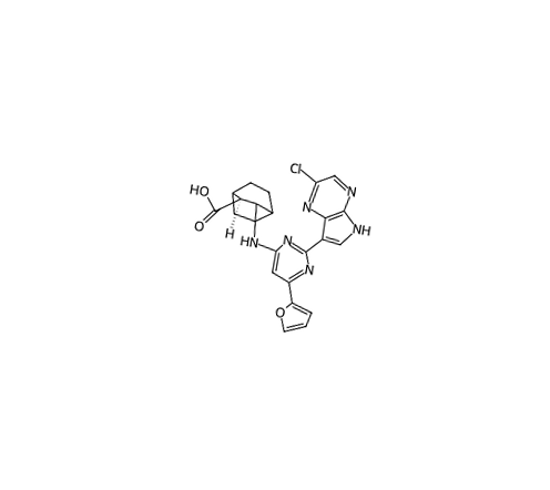 O=C(O)[C@H]1C2CCC(CC2)C1Nc1cc(-c2ccco2)nc(-c2c[nH]c3ncc(Cl)nc23)n1